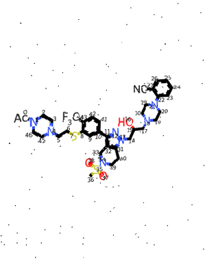 CC(=O)N1CCN(CCSc2cc(-c3nn(CC(O)CN4CCN(c5ccccc5C#N)CC4)c4c3CN(S(C)(=O)=O)CC4)ccc2C(F)(F)F)CC1